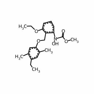 CCOc1cccc(N(O)C(=O)OC)c1COc1cc(C)c(CC)cc1C